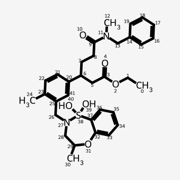 CCOC(=O)CC(CCC(=O)N(C)Cc1ccccc1)c1ccc(C)c(CN2CC(C)Oc3ccccc3S2(O)O)c1